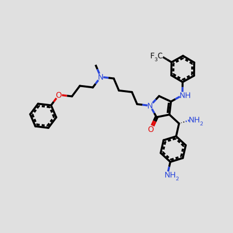 CN(CCCCN1CC(Nc2cccc(C(F)(F)F)c2)=C([C@H](N)c2ccc(N)cc2)C1=O)CCCOc1ccccc1